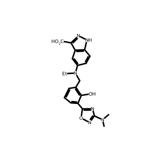 CCN(Cc1cccc(-c2nc(N(C)C)no2)c1O)c1ccc2[nH]nc(C(=O)O)c2c1